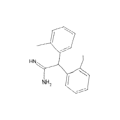 Cc1ccccc1C(C(=N)N)c1ccccc1C